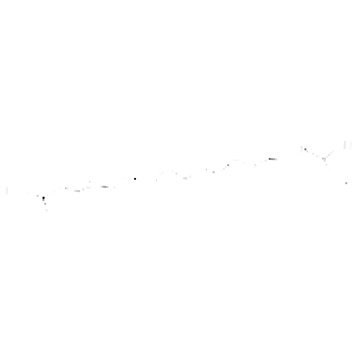 CC(C)CCOCCOCCOCCOCCNC(C)C